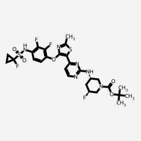 Cc1nc(Oc2ccc(NS(=O)(=O)C3(F)CC3)c(F)c2F)c(-c2ccnc(N[C@H]3C[C@H](F)CN(C(=O)OC(C)(C)C)C3)n2)s1